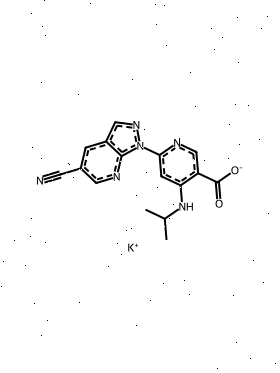 CC(C)Nc1cc(-n2ncc3cc(C#N)cnc32)ncc1C(=O)[O-].[K+]